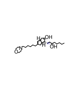 CCCCC[C@H](O)/C=C/[C@@H]1[C@H]2CC(CCCCCCN3CCOCC3)=C[C@H]2C[C@H]1O